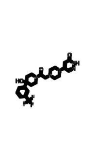 O=C(CN1CCN(c2cn[nH]c(=O)c2)CC1)N1CCC(O)(c2cccc(C(F)(F)F)c2)CC1